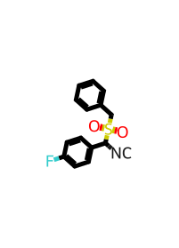 [C-]#[N+]C(c1ccc(F)cc1)S(=O)(=O)Cc1ccccc1